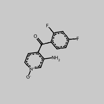 Nc1c[n+]([O-])ccc1C(=O)c1ccc(F)cc1F